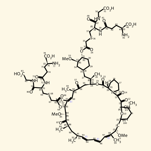 CO[C@H]1C[C@@H]2CC[C@@H](C)[C@@](O)(O2)C(=O)C(=O)N2CCCC[C@H]2C(=O)O[C@H]([C@H](C)C[C@@H]2CC[C@@H](OC(=O)CSC[C@H](NC(=O)CC[C@H](N)C(=O)O)C(=O)NCC(=O)O)[C@H](OC)C2)CC(=O)[C@H](C)/C=C(\C)[C@@H](OC(=O)CSC[C@H](NC(=O)CC[C@H](N)C(=O)O)C(=O)NCC(=O)O)[C@@H](OC)C(=O)[C@H](C)C[C@H](C)/C=C/C=C/C=C/1C